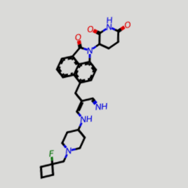 N=C/C(=C\NC1CCN(CC2(F)CCC2)CC1)Cc1ccc2c3c(cccc13)C(=O)N2C1CCC(=O)NC1=O